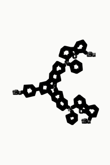 CC(C)(C)c1ccc(-c2cc3c4cc5ccc(N(c6ccccc6)c6cccc7c6oc6c(C(C)(C)C)cccc67)cc5cc4n4c5cc6cc(N(c7ccccc7)c7cccc8c7oc7c(C(C)(C)C)cccc78)ccc6cc5c(c2)c34)cc1